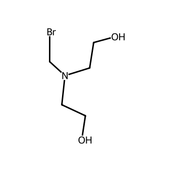 OCCN(CBr)CCO